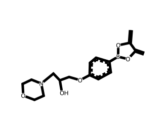 C=C1OB(c2ccc(OCC(O)CN3CCOCC3)cc2)OC1=C